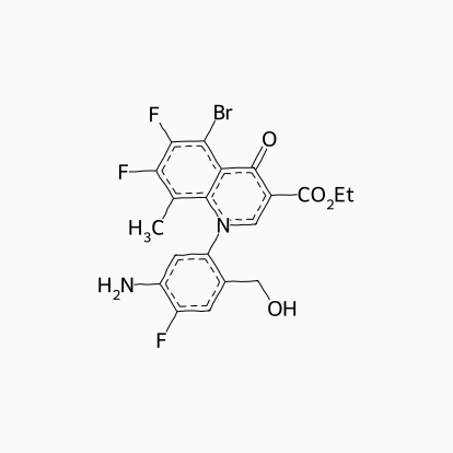 CCOC(=O)c1cn(-c2cc(N)c(F)cc2CO)c2c(C)c(F)c(F)c(Br)c2c1=O